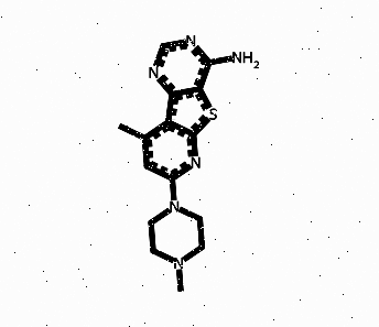 Cc1cc(N2CCN(C)CC2)nc2sc3c(N)ncnc3c12